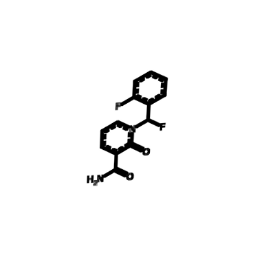 NC(=O)c1cccn(C(F)c2ccccc2F)c1=O